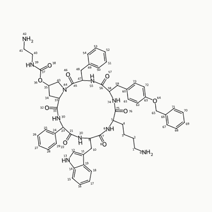 NCCCCC1NC(=O)C(Cc2c[nH]c3ccccc23)NC(=O)C(c2ccccc2)NC(=O)C2CC(OC(=O)NCCN)CN2C(=O)C(Cc2ccccc2)NC(=O)C(Cc2ccc(OCc3ccccc3)cc2)NC1=O